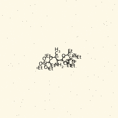 CCO[Si](OCC)(OCC)C(CC)OC(C)C(N)C(C)OC(CC)[Si](OCC)(OCC)OCC